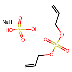 C=CCOS(=O)(=O)OCC=C.O=S(=O)(O)O.[NaH]